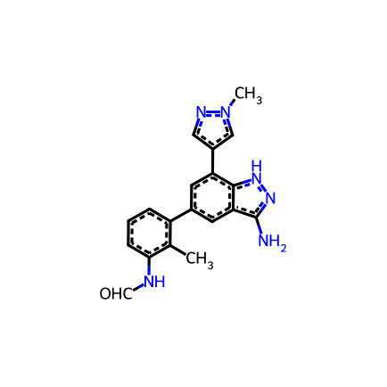 Cc1c(NC=O)cccc1-c1cc(-c2cnn(C)c2)c2[nH]nc(N)c2c1